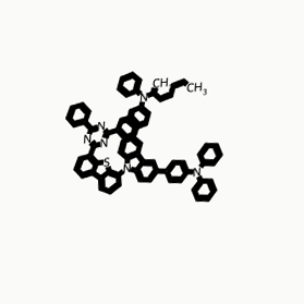 C=C(/C=C\C=C/C)N(c1ccccc1)c1ccc(-c2ccc3c(c2)c2cc(-c4ccc(N(c5ccccc5)c5ccccc5)cc4)ccc2n3-c2cccc3c2sc2c(-c4nc(-c5ccccc5)nc(-c5ccccc5)n4)cccc23)cc1